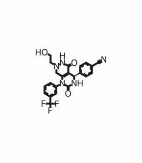 N#Cc1ccc([C@H]2NC(=O)N(c3cccc(C(F)(F)F)c3)C3=C2C(=O)NN(CCO)C3)cc1